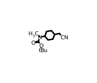 CN(C(=O)OC(C)(C)C)C1CCC(CC#N)CC1